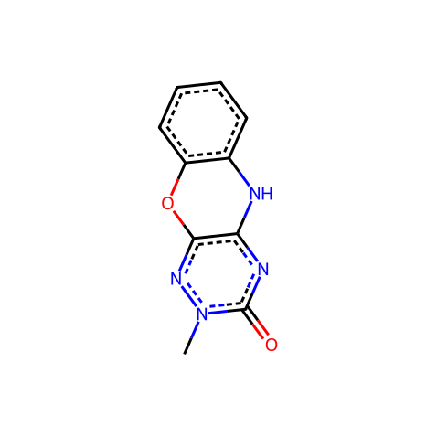 Cn1nc2c(nc1=O)Nc1ccccc1O2